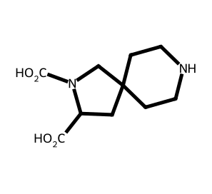 O=C(O)C1CC2(CCNCC2)CN1C(=O)O